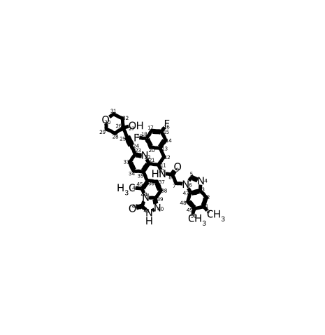 Cc1cc2ncn(CC(=O)NC(Cc3cc(F)cc(F)c3)c3nc(C#CC4(O)CCOCC4)ccc3-c3ccc4n[nH]c(=O)n4c3C)c2cc1C